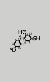 COc1ccc(Cc2ccc(S)cc2O)cc1